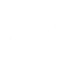 O=C1CCCN1C1CCC(O)C(Cc2c(Cl)cc(-c3ccncc3)cc2Cl)C1